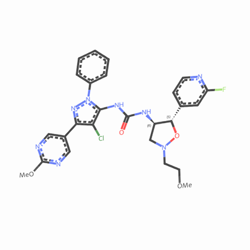 COCCN1C[C@@H](NC(=O)Nc2c(Cl)c(-c3cnc(OC)nc3)nn2-c2ccccc2)[C@H](c2ccnc(F)c2)O1